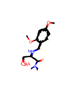 COc1ccc(CNC(CO)C(=O)N(C)C)c(OC)c1